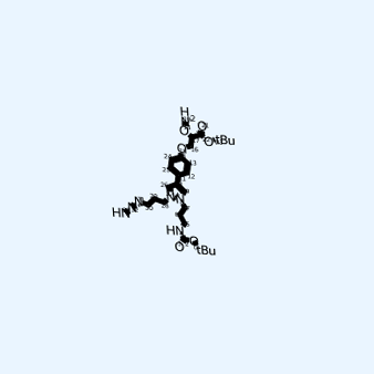 CC(C)(C)OC(=O)NCCCn1cc(-c2ccc(OCC(ON)C(=O)OC(C)(C)C)cc2)c[n+]1CCCN=[N+]=N